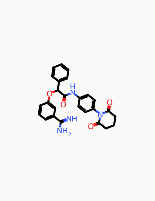 N=C(N)c1cccc(OC(C(=O)Nc2ccc(N3C(=O)CCCC3=O)cc2)c2ccccc2)c1